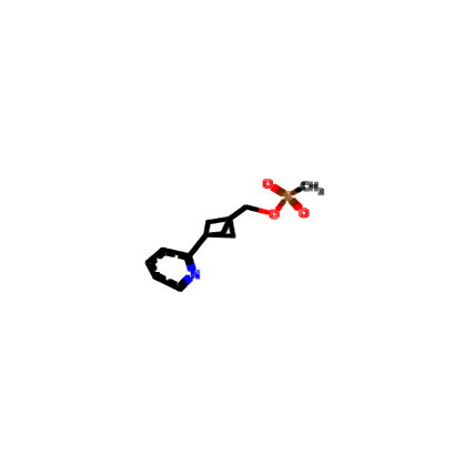 CS(=O)(=O)OCC12CC(c3ccccn3)(C1)C2